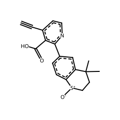 C#Cc1ccnc(-c2ccc3c(c2)C(C)(C)CC[S+]3[O-])c1C(=O)O